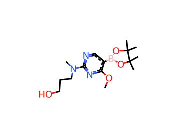 COc1nc(N(C)CCCO)ncc1B1OC(C)(C)C(C)(C)O1